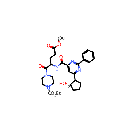 CCOC(=O)N1CCN(C(=O)C(CCC(=O)OC(C)(C)C)NC(=O)c2cc(C3CCC[C@@H]3O)nc(-c3ccccc3)n2)CC1